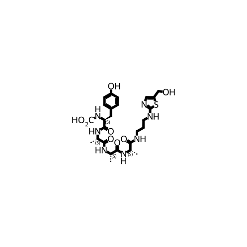 C[C@H](NC(=O)[C@H](C)NC(=O)[C@H](C)NC(=O)[C@H](Cc1ccc(O)cc1)NC(=O)O)C(=O)NCCCNc1ncc(CO)s1